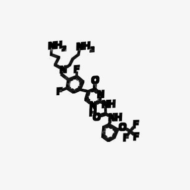 NCCCN(CCCN)Cc1c(F)cc(-c2c[nH]c(NC(=O)Nc3ccccc3OC(F)(F)F)nc2=O)cc1F